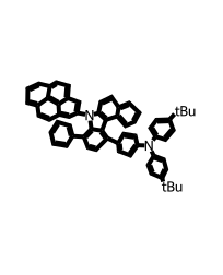 CC(C)(C)c1ccc(N(c2ccc(-c3ccc(-c4ccccc4)c4c3c3c5ccccc5ccc3n4-c3cc4ccc5cccc6ccc(c3)c4c56)cc2)c2ccc(C(C)(C)C)cc2)cc1